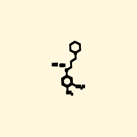 Cl.Cl.Nc1ccc(OCCCN2CCCCC2)cc1C(=O)O